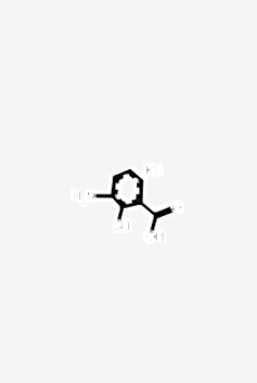 Nc1cccc(C(=O)O)c1S.[KH]